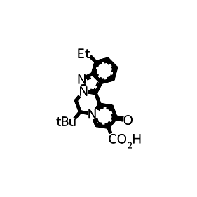 CCc1cccc2c3n(nc12)CC(C(C)(C)C)n1cc(C(=O)O)c(=O)cc1-3